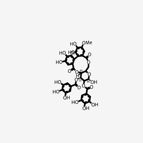 COc1cc2c(c(O)c1O)-c1c(cc(O)c(O)c1O)C(=O)O[C@@H]1C(COC2=O)O[C@@H](O)C(OC(=O)c2cc(O)c(O)c(O)c2)[C@H]1OC(=O)c1cc(O)c(O)c(O)c1